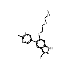 COCOCCOc1cc2[nH]nc(I)c2cc1-c1cnc(C)nc1